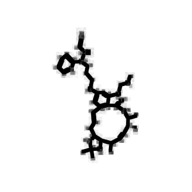 COCOc1cc(OCCCN(BC=O)c2ccccn2)cc2c1C(=O)OC(C)[C@H](C)/C=C\C(C)C1OC(C)(C)OC1C/C=C/2